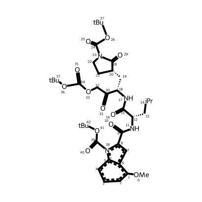 COc1cccc2c1cc(C(=O)N[C@@H](CC(C)C)C(=O)N[C@@H](C[C@@H]1CCN(C(=O)OC(C)(C)C)C1=O)C(=O)COC(=O)OC(C)(C)C)n2C(=O)OC(C)(C)C